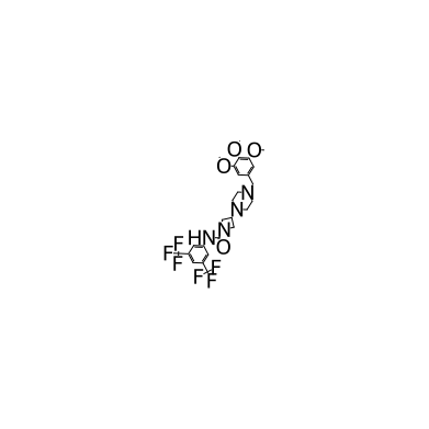 COc1cc(CN2CCN(C3CN(C(=O)Nc4cc(C(F)(F)F)cc(C(F)(F)F)c4)C3)CC2)cc(OC)c1OC